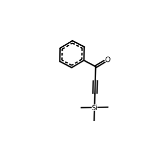 C[Si](C)(C)C#CC(=O)c1ccccc1